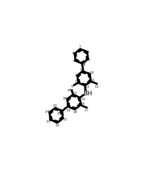 Cc1cc(-c2ccccc2)cc(C)c1Bc1c(C)cc(-c2ccccc2)cc1C